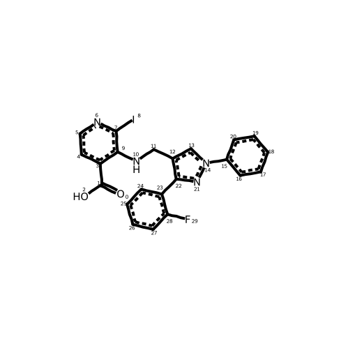 O=C(O)c1ccnc(I)c1NCc1cn(-c2ccccc2)nc1-c1ccccc1F